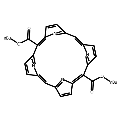 CCCCOC(=O)C1=C2C=CC(=N2)C=C2C=CC(=N2)C(C(=O)OCCCC)=C2C=CC(=N2)C=C2C=CC1=N2